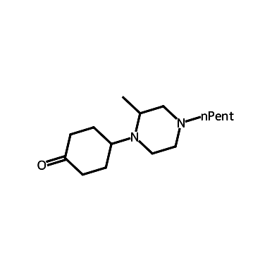 CCCCCN1CCN(C2CCC(=O)CC2)C(C)C1